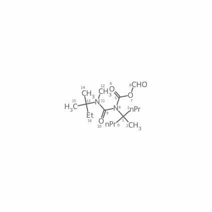 CCCC(C)(CCC)N(C(=O)OC=O)C(=O)N(C)C(C)(C)CC